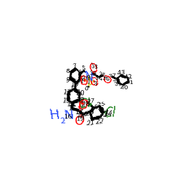 CS(=O)(=O)N(Cc1cccc(-c2ccc3c(N)c(C(=O)c4ccc(Cl)cc4Cl)oc3c2)c1)C(=O)CCOCc1ccccc1